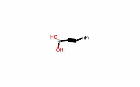 CCCC#CB(O)O